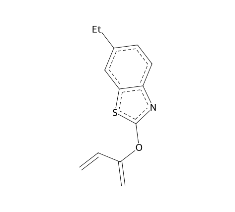 C=CC(=C)Oc1nc2ccc(CC)cc2s1